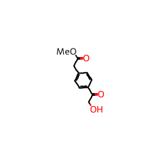 COC(=O)Cc1ccc(C(=O)CO)cc1